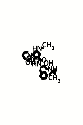 CCNc1cc(C(=O)N[C@@H](Cc2ccccc2)[C@H](O)CNC2(CC)CC2)cc(N2CCCCS2(O)O)c1